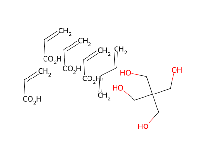 C=CC(=O)O.C=CC(=O)O.C=CC(=O)O.C=CC(=O)O.C=CC=C.OCC(CO)(CO)CO